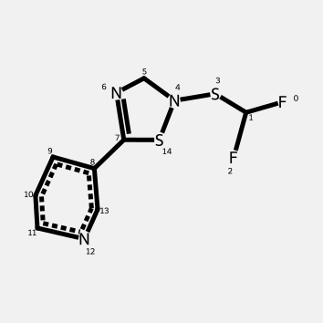 FC(F)SN1CN=C(c2cccnc2)S1